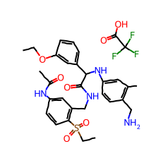 CCOc1cccc(C(Nc2ccc(CN)c(C)c2)C(=O)NCc2cc(NC(C)=O)ccc2S(=O)(=O)CC)c1.O=C(O)C(F)(F)F